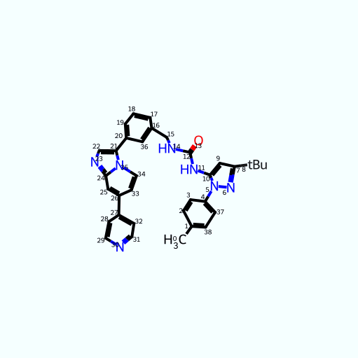 Cc1ccc(-n2nc(C(C)(C)C)cc2NC(=O)NCc2cccc(-c3cnc4cc(-c5ccncc5)ccn34)c2)cc1